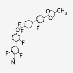 CC1COC(c2ccc(C3CCC(C(F)(F)Oc4ccc(-c5cc(F)c(C#N)c(F)c5)c(F)c4)CC3)c(F)c2)OC1